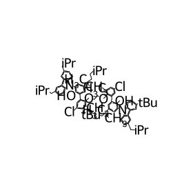 Cc1cc(Cl)cc(-c2cc(C(C)(C)CCC(C)C)cc(-n3c4ccc(CC(C)C)cc4c4cc(CC(C)C)ccc43)c2O)c1OCCOc1c(C)cc(Cl)cc1-c1cc(C(C)(C)CC(C)(C)C)cc(-n2c3ccc(CC(C)C)cc3c3cc(C(C)(C)C)ccc32)c1O